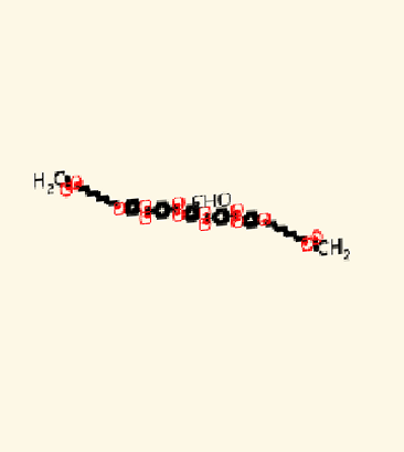 C=CC(=O)OCCCCCCCCOc1ccc(OC(=O)C2CCC(C(=O)Oc3ccc(OC(=O)[C@H]4CC[C@H](C(=O)Oc5ccc(OCCCCCCCCOC(=O)C=C)cc5)CC4)c(C=O)c3)CC2)cc1